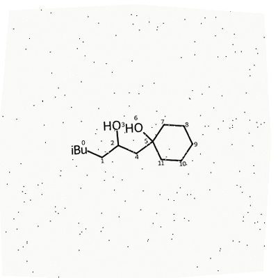 CCC(C)CC(O)CC1(O)CCCCC1